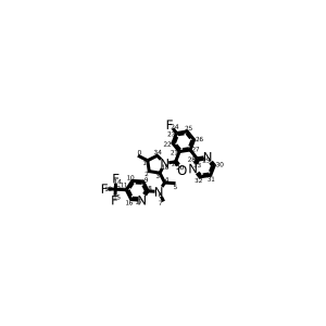 CC1CC(C(C)N(C)c2ccc(C(F)(F)F)cn2)N(C(=O)c2cc(F)ccc2-c2ncccn2)C1